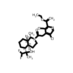 C=C(OCC)c1ncc(Cl)c(CC(=O)N2CC[C@@H]3[C@H](CCC[C@H]3C(C)(O)C(F)F)[C@@H]2C)c1Cl